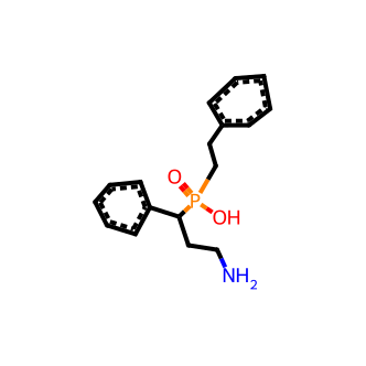 NCCC(c1ccccc1)P(=O)(O)CCc1ccccc1